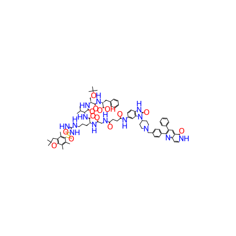 Cc1c(C)c(S(=O)(=O)NC(=N)NCCC[C@H](NC(=O)CNC(=O)CCC(=O)Nc2ccc3[nH]c(=O)n(C4CCN(Cc5ccc(-c6nc7cc[nH]c(=O)c7cc6-c6ccccc6)cc5)CC4)c3c2)C(=O)N[C@H](C(=O)N[C@@H](COC(C)(C)C)C(=O)N[C@@H](Cc2ccccc2)C(=O)O)C(C)C)c(C)c2c1OC(C)(C)C2